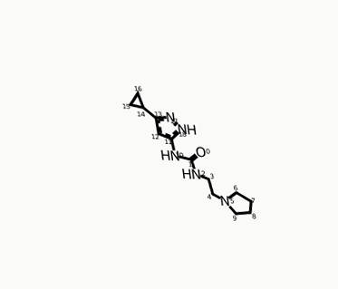 O=C(NCCN1CCCC1)Nc1cc(C2CC2)n[nH]1